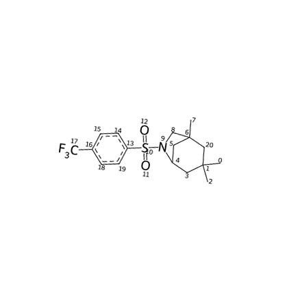 CC1(C)CC2CC(C)(CN2S(=O)(=O)c2ccc(C(F)(F)F)cc2)C1